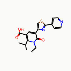 CCn1c(C(C)C)c(C(=O)O)cc(-c2csc(-c3ccncc3)n2)c1=O